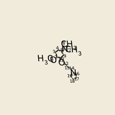 COc1ccc(N(C)C)cc1OCCCN1CCCC1